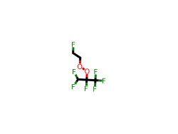 FCCOOC(F)(C(F)F)C(F)(F)F